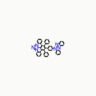 c1ccc(-c2c(-c3ccc(-n4c5ccccc5n5c6ccccc6nc45)cc3)c(-c3ccccc3)c(-c3ccccc3)c(-c3ncncn3)c2-c2ccccc2)cc1